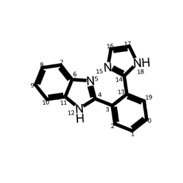 c1ccc(-c2nc3ccccc3[nH]2)c(-c2ncc[nH]2)c1